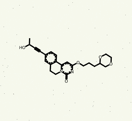 CC(O)C#Cc1ccc2c(c1)CCn1c-2cc(OCCCC2COCCO2)nc1=O